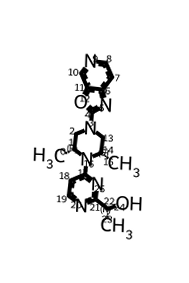 C[C@@H]1CN(c2nc3ccncc3o2)C[C@H](C)N1c1ccnc([C@@H](C)O)n1